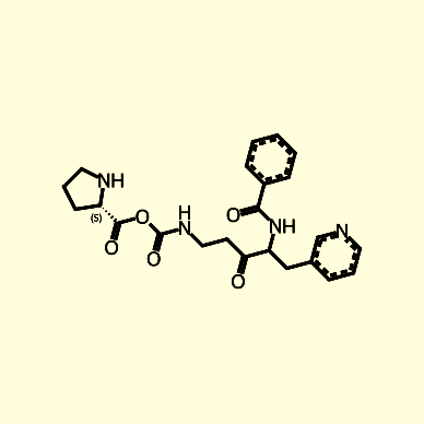 O=C(NCCC(=O)C(Cc1cccnc1)NC(=O)c1ccccc1)OC(=O)[C@@H]1CCCN1